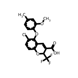 COc1cc(C)ccc1Oc1c(Cl)ccc2c1C=C(C(=O)O)C(C(F)(F)F)O2